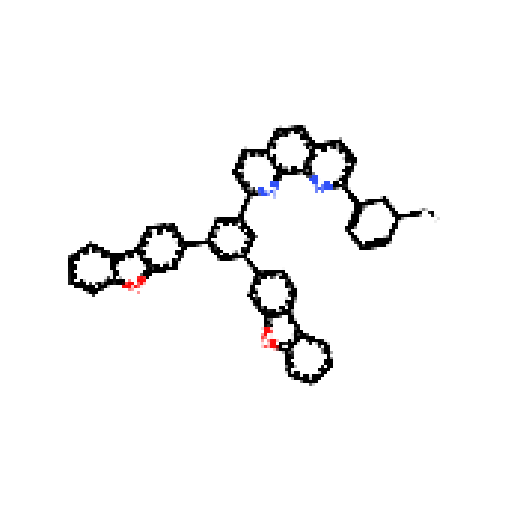 CC1C=CC=C(c2ccc3ccc4ccc(-c5cc(-c6ccc7c(c6)oc6ccccc67)cc(-c6ccc7c(c6)oc6ccccc67)c5)nc4c3n2)C1